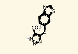 O=C(O)c1[nH]nnc1Sc1ccc2ncsc2c1